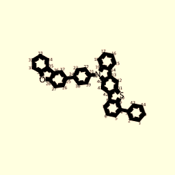 c1ccc(-c2cccc3c2sc2cc4c5ccccc5n(-c5ccc(-c6ccc7oc8ccccc8c7c6)cc5)c4cc23)cc1